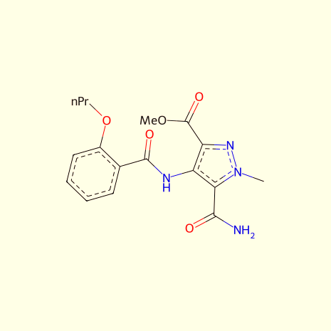 CCCOc1ccccc1C(=O)Nc1c(C(=O)OC)nn(C)c1C(N)=O